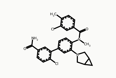 Cc1ccc(C(=O)N(C)c2ccc(-c3cc(C(N)=O)ccc3Cl)cc2N2CC3CC3C2)cc1Cl